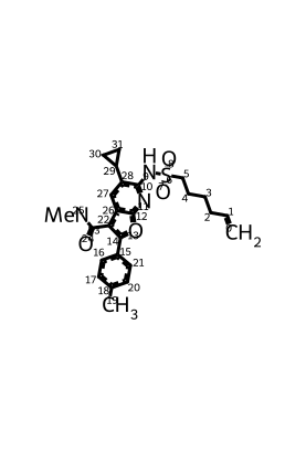 C=CCCCCS(=O)(=O)Nc1nc2oc(-c3ccc(C)cc3)c(C(=O)NC)c2cc1C1CC1